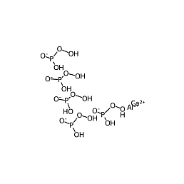 [Al+3].[Ca+2].[O-]P(O)OO.[O-]P(O)OO.[O-]P(O)OO.[O-]P(O)OO.[O-]P(O)OO